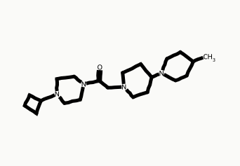 CC1CCN(C2CCN(CC(=O)N3CCN(C4CCC4)CC3)CC2)CC1